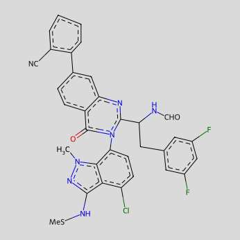 CSNc1nn(C)c2c(-n3c(C(Cc4cc(F)cc(F)c4)NC=O)nc4cc(-c5ccccc5C#N)ccc4c3=O)ccc(Cl)c12